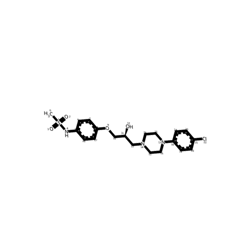 CS(=O)(=O)Nc1ccc(OC[C@@H](O)CN2CCN(c3ccc(Cl)cc3)CC2)cc1